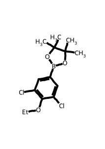 CCOc1c(Cl)cc(B2OC(C)(C)C(C)(C)O2)cc1Cl